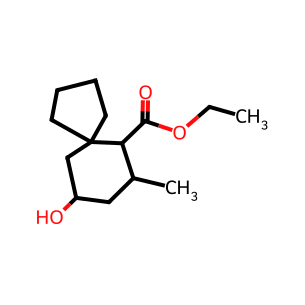 CCOC(=O)C1C(C)CC(O)CC12CCCC2